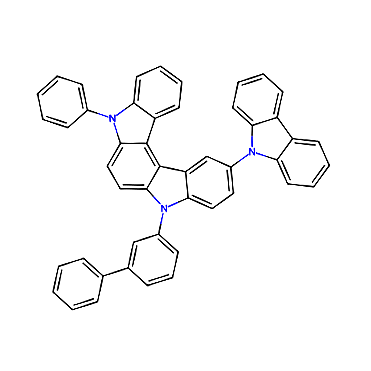 c1ccc(-c2cccc(-n3c4ccc(-n5c6ccccc6c6ccccc65)cc4c4c5c6ccccc6n(-c6ccccc6)c5ccc43)c2)cc1